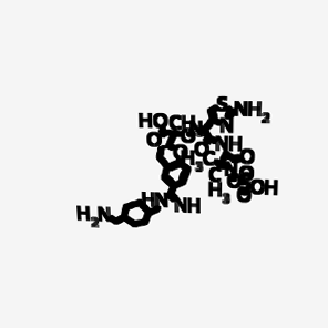 CC1(C)[C@H](NC(=O)/C(=N\O[C@](C)(C(=O)O)[C@H]2CCc3cc(C(=N)NCC4CCC(CN)CC4)ccc3O2)c2csc(N)n2)C(=O)N1OS(=O)(=O)O